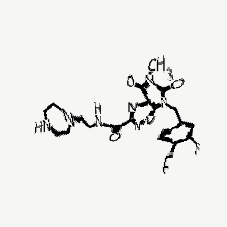 Cn1c(=O)c2nc(C(=O)NCCN3CCNCC3)nnc2n(Cc2ccc(F)c(F)c2)c1=O